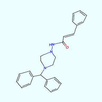 O=C(C=Cc1ccccc1)NN1CCN(C(c2ccccc2)c2ccccc2)CC1